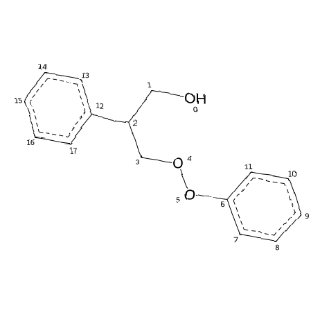 OCC(COOc1ccccc1)c1ccccc1